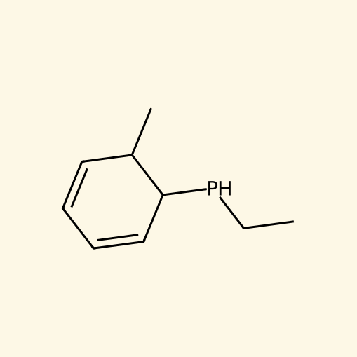 CCPC1C=CC=CC1C